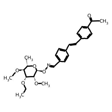 CCO[C@@H]1[C@@H](OC)[C@H](C)O[C@@H](ON=Cc2ccc(/C=C/c3ccc(C(C)=O)cc3)cc2)[C@@H]1OC